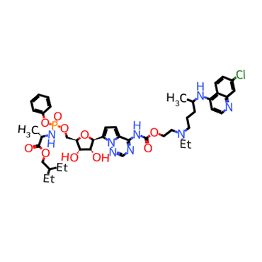 CCC(CC)COC(=O)[C@H](C)NP(=O)(OC[C@H]1O[C@@H](c2ccc3c(NC(=O)OCCN(CC)CCCC(C)Nc4ccnc5cc(Cl)ccc45)ncnn23)[C@H](O)[C@@H]1O)Oc1ccccc1